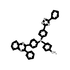 Cc1ccc(N(c2ccc(-c3nnc(-c4ccccc4)o3)cc2)c2ccc(-c3nc4ccccc4nc3-c3ccccc3)cc2)cc1